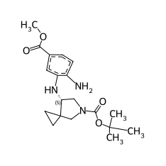 COC(=O)c1ccc(N)c(N[C@@H]2CN(C(=O)OC(C)(C)C)CC23CC3)c1